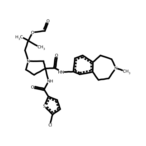 CN1CCc2ccc(NC(=O)C3(NC(=O)c4ccc(Cl)s4)CCN(CC(C)(C)OC=O)C3)cc2CC1